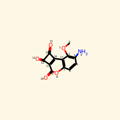 COc1c(N)ccc2oc(=O)c3c(=O)c(=O)c3c12